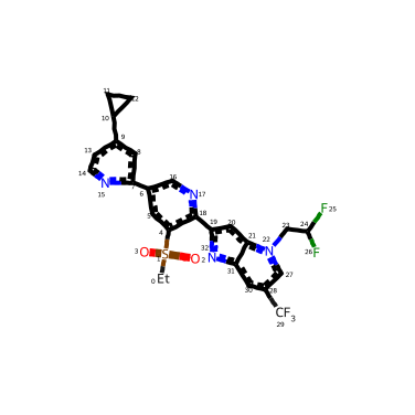 CCS(=O)(=O)c1cc(-c2cc(C3CC3)ccn2)cnc1-c1cc2n(CC(F)F)cc(C(F)(F)F)cc-2n1